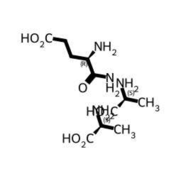 C[C@H](N)C(=O)O.C[C@H](N)C(=O)O.NC(=O)[C@H](N)CCC(=O)O